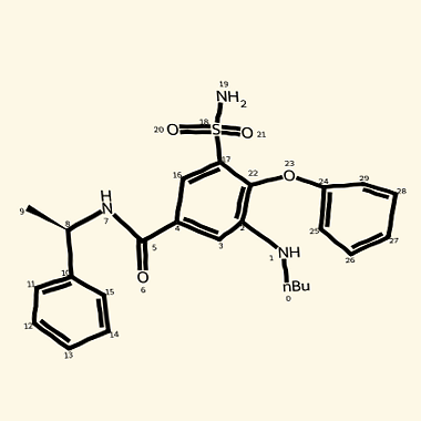 CCCCNc1cc(C(=O)N[C@H](C)c2ccccc2)cc(S(N)(=O)=O)c1Oc1ccccc1